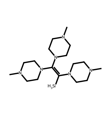 CN1CCN(C([SiH3])=C(N2CCN(C)CC2)N2CCN(C)CC2)CC1